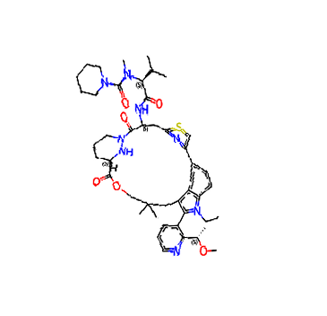 CCn1c(-c2cccnc2[C@H](C)OC)c2c3cc(ccc31)-c1csc(n1)C[C@H](NC(=O)[C@H](C(C)C)N(C)C(=O)N1CCCCC1)C(=O)N1CCC[C@H](N1)C(=O)OCC(C)(C)C2